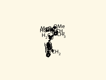 C=CC[C@@H]1O[C@@H]2[C@H]3O[C@@H]4C[C@](CC[C@H]5CC(=C)C(CC[C@H]6C[C@@H](C)C(=C)[C@@H](CC7O[C@H](C[C@H](O)CO)[C@H](OC)[C@H]7CC(=O)OC)O6)O5)(O[C@H]3[C@H]1OC(=O)c1ccccc1)O[C@H]24